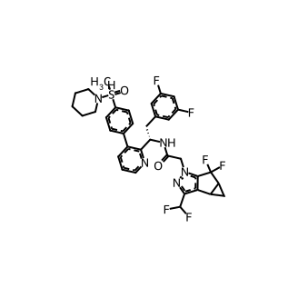 C[SH](=O)(c1ccc(-c2cccnc2[C@H](Cc2cc(F)cc(F)c2)NC(=O)Cn2nc(C(F)F)c3c2C(F)(F)C2CC32)cc1)N1CCCCC1